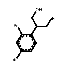 CC(C)CC(CO)c1ccc(Br)cc1Br